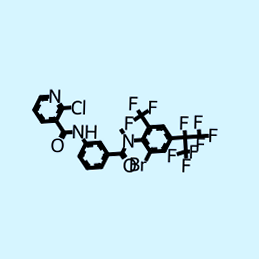 CN(C(=O)c1cccc(NC(=O)c2cccnc2Cl)c1)c1c(Br)cc(C(F)(C(F)(F)F)C(F)(F)F)cc1C(F)(F)F